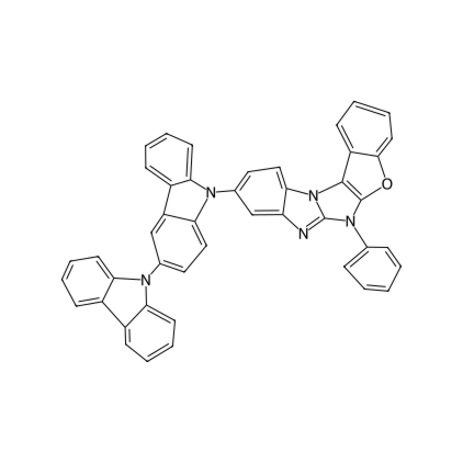 c1ccc(-n2c3oc4ccccc4c3n3c4ccc(-n5c6ccccc6c6cc(-n7c8ccccc8c8ccccc87)ccc65)cc4nc23)cc1